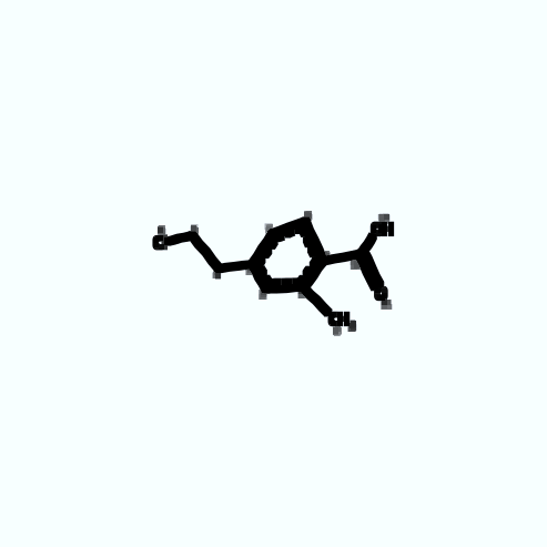 Cc1cc(CCCl)ccc1C(=O)O